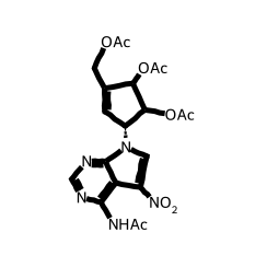 CC(=O)Nc1ncnc2c1c([N+](=O)[O-])cn2[C@@H]1C=C(COC(C)=O)C(OC(C)=O)C1OC(C)=O